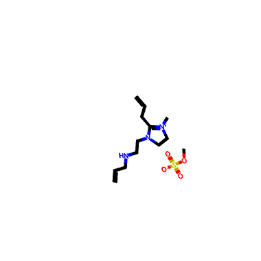 C=CCNCCN1CC[N+](C)=C1CC=C.COS(=O)(=O)[O-]